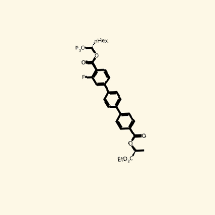 CCCCCC[C@H](OC(=O)c1ccc(-c2ccc(-c3ccc(C(=O)O[C@@H](C)C(=O)OCC)cc3)cc2)cc1F)C(F)(F)F